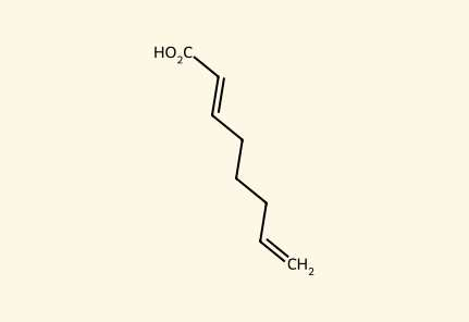 C=CCCCC=CC(=O)O